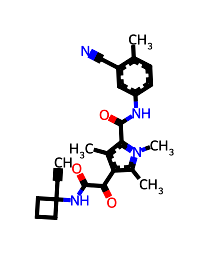 C#CC1(NC(=O)C(=O)c2c(C)c(C(=O)Nc3ccc(C)c(C#N)c3)n(C)c2C)CCC1